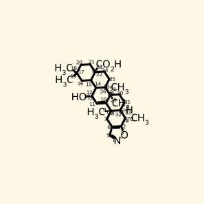 C[C@@H]1c2oncc2C[C@]2(C)C3=C[C@@H](O)C4C5CC(C)(C)CC[C@]5(C(=O)O)CC[C@@]4(C)[C@]3(C)CC[C@@H]12